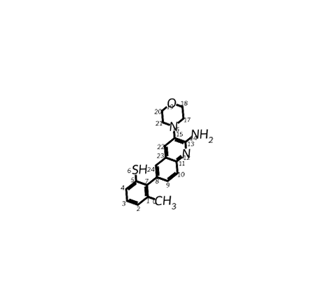 Cc1cccc(S)c1-c1ccc2nc(N)c(N3CCOCC3)cc2c1